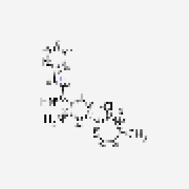 CC1=NC(C)=C(c2ccc(C(=N)/C=C/c3ccccn3)c(N)c2)SCC1